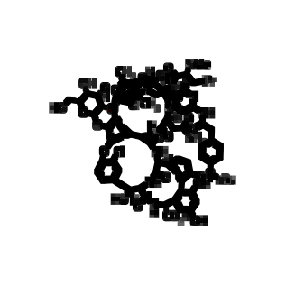 CCCCOc1ccc(CC(=O)Nc2ccn(CCNC3(C)C[C@H](O[C@H]4C(Oc5c6cc7cc5Oc5ccc(cc5Cl)[C@@H](O)[C@H]5NC(=O)[C@@H](NC(=O)C7NC(=O)[C@H](CC(N)=O)NC(=O)[C@H](NC(=O)[C@H](CC(C)C)NC)[C@H](O)c7ccc(c(Cl)c7)O6)c6ccc(O)c(c6)-c6c(O)cc(O)cc6[C@H](C(=O)O)NC5=O)O[C@@H](CO)[C@@H](O)[C@H]4O)OC(C)[C@@H]3O)c(=O)n2)cc1